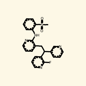 CS(=O)(=O)c1ccccc1Nc1ncccc1CC(c1cccnc1)c1cccnc1F